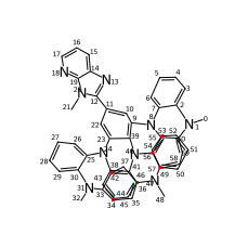 CN1c2ccccc2N(c2cc(-c3nc4cccnc4n3C)cc(N3c4ccccc4N(C)c4ccccc43)c2N2c3ccccc3N(C)c3ccccc32)c2ccccc21